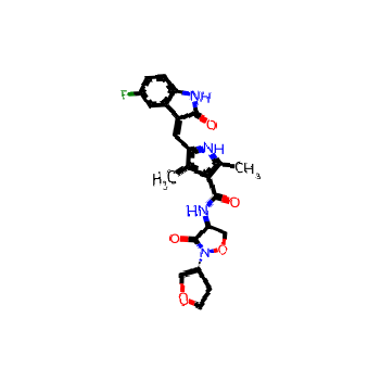 Cc1[nH]c(/C=C2\C(=O)Nc3ccc(F)cc32)c(C)c1C(=O)NC1CON([C@@H]2CCOC2)C1=O